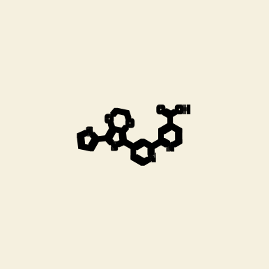 O=C(O)c1ccnc(-c2cc(-c3sc(-c4cccs4)c4c3OCCO4)ccn2)c1